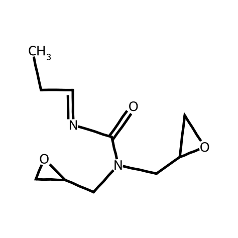 CCC=NC(=O)N(CC1CO1)CC1CO1